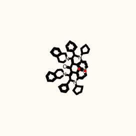 O=C(C1=C(N2CCc3ccccc3C2)C(c2ccccc2)N(C2CCCC2)c2ccncc21)C1=C(N2CCc3ccccc3C2)C(c2ccccc2)N(C2CCCC2)c2ccncc21